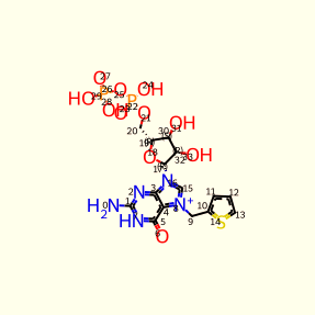 Nc1nc2c(c(=O)[nH]1)[n+](Cc1cccs1)cn2[C@@H]1O[C@H](COP(=O)(O)OP(=O)(O)O)[C@@H](O)[C@H]1O